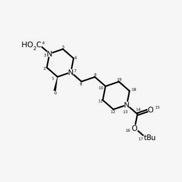 C[C@H]1CN(C(=O)O)CCN1CCC1CCN(C(=O)OC(C)(C)C)CC1